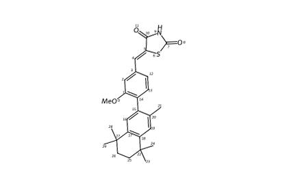 COc1cc(/C=C2\SC(=O)NC2=O)ccc1-c1cc2c(cc1C)C(C)(C)CCC2(C)C